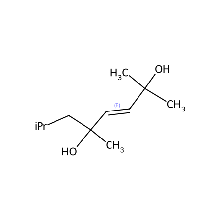 CC(C)CC(C)(O)/C=C/C(C)(C)O